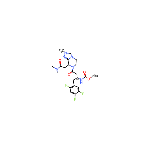 CN(C)C(=O)CC1C2=NN(C(F)(F)F)CN2CCN1C(=O)C[C@@H](Cc1cc(F)c(F)cc1F)NC(=O)OC(C)(C)C